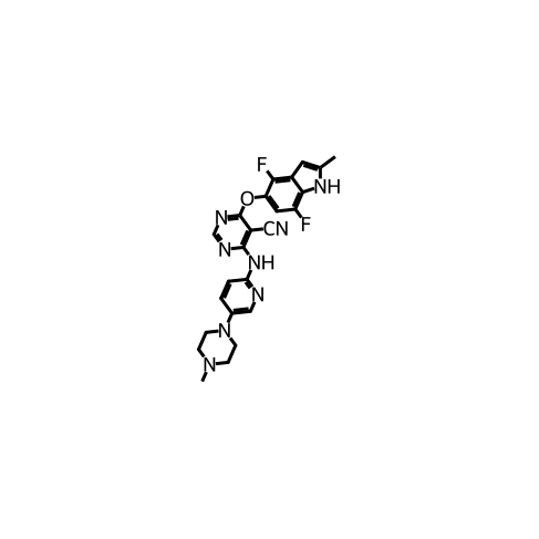 Cc1cc2c(F)c(Oc3ncnc(Nc4ccc(N5CCN(C)CC5)cn4)c3C#N)cc(F)c2[nH]1